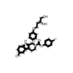 O=C(Oc1ccc(F)cc1)N1CCc2c([nH]c3ccc(Cl)cc23)[C@@H]1c1ccc(OCC[C@H](O)CO)cc1